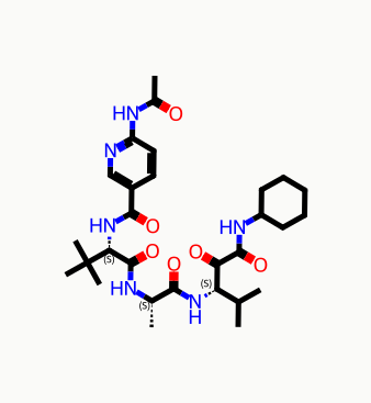 CC(=O)Nc1ccc(C(=O)N[C@H](C(=O)N[C@@H](C)C(=O)N[C@H](C(=O)C(=O)NC2CCCCC2)C(C)C)C(C)(C)C)cn1